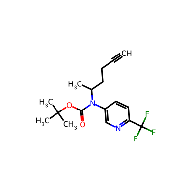 C#CCCC(C)N(C(=O)OC(C)(C)C)c1ccc(C(F)(F)F)nc1